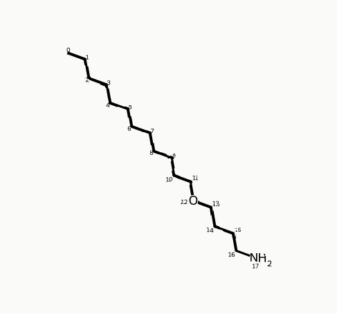 CCCCCCCCCCCCOCCCCN